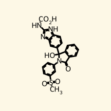 CS(=O)(=O)c1cccc(N2C(=O)c3ccccc3C2(O)c2ccc3[nH]c(NC(=O)O)nc3c2)c1